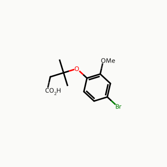 COc1cc(Br)ccc1OC(C)(C)CC(=O)O